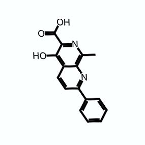 Cc1nc(C(=O)O)c(O)c2ccc(-c3ccccc3)nc12